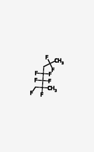 CC(F)(F)CC(F)(F)C(F)(F)C(C)(F)CF